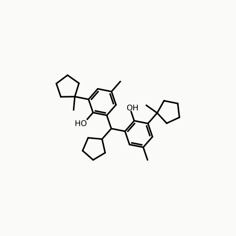 Cc1cc(C(c2cc(C)cc(C3(C)CCCC3)c2O)C2CCCC2)c(O)c(C2(C)CCCC2)c1